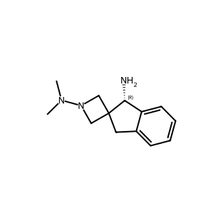 CN(C)N1CC2(Cc3ccccc3[C@H]2N)C1